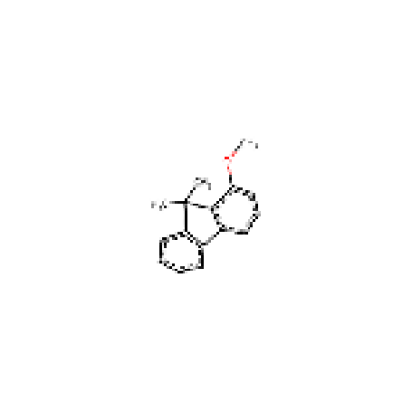 COc1cccc2c1C(C)(C)c1ccccc1-2